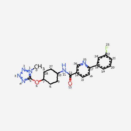 Cn1nnnc1OC1CCC(NC(=O)c2ccc(-c3cccc(F)c3)nc2)CC1